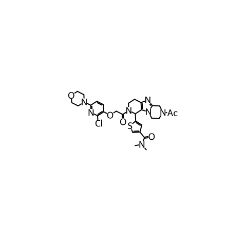 CC(=O)N1CCn2c(nc3c2C(c2cc(C(=O)N(C)C)cs2)N(C(=O)COc2ccc(N4CCOCC4)nc2Cl)CC3)C1